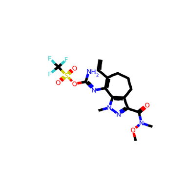 C=CC1=C(/N=C(\N)OS(=O)(=O)C(F)(F)F)c2c(c(C(=O)N(C)OC)nn2C)CCC1